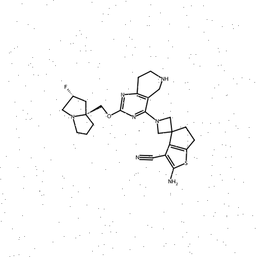 N#Cc1c(N)sc2c1C1(CC2)CN(c2nc(OC[C@@]34CCCN3C[C@H](F)C4)nc3c2CNCC3)C1